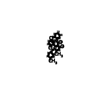 Cc1ccc(Cn2c(C)cc(=O)c(C(=O)Nc3ccccc3Cl)c2-c2ccccc2Cl)cc1